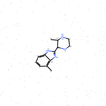 Cc1cccc2[nH]c(C3[N]CCNC3C)nc12